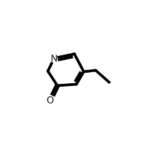 CCC1=CC(=O)CN=C1